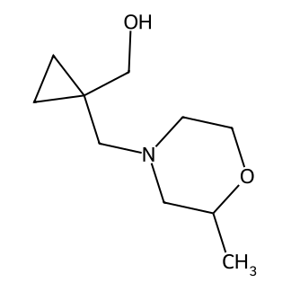 CC1CN(CC2(CO)CC2)CCO1